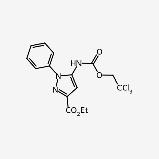 CCOC(=O)c1cc(NC(=O)OCC(Cl)(Cl)Cl)n(-c2ccccc2)n1